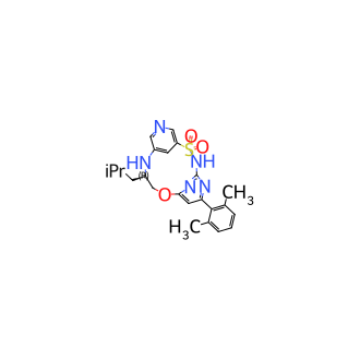 Cc1cccc(C)c1-c1cc2nc(n1)NS(=O)(=O)c1cncc(c1)N[C@H](CC(C)C)CO2